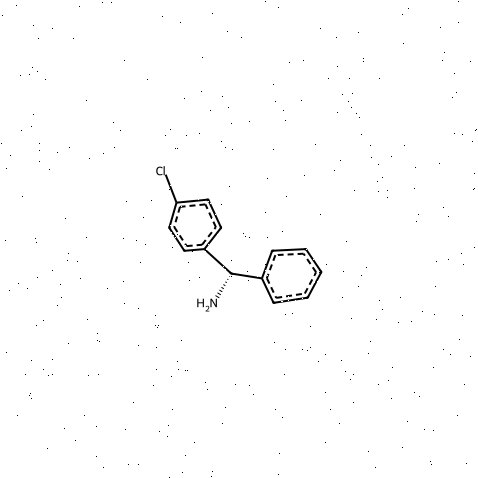 N[C@@H](c1ccccc1)c1ccc(Cl)cc1